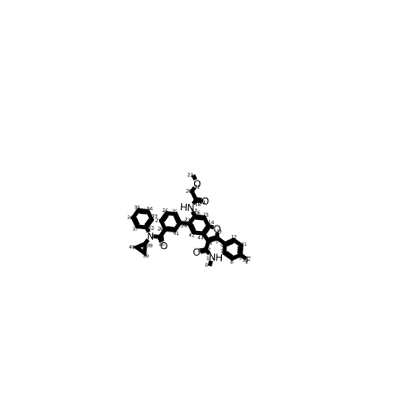 CNC(=O)c1c(-c2ccc(F)cc2)oc2cc(NC(=O)COC)c(-c3cccc(C(=O)N(c4ccccc4)C4CC4)c3)cc12